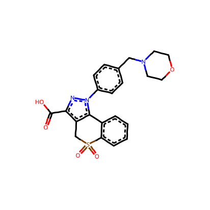 O=C(O)c1nn(-c2ccc(CN3CCOCC3)cc2)c2c1CS(=O)(=O)c1ccccc1-2